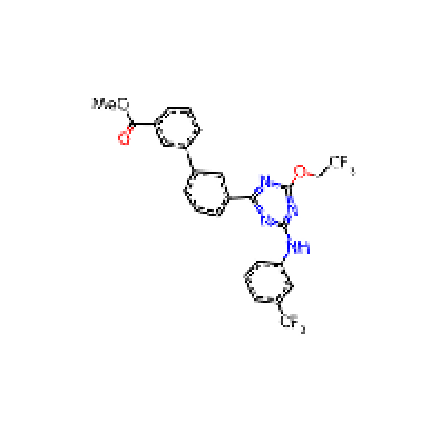 COC(=O)c1cccc(-c2cccc(-c3nc(Nc4cccc(C(F)(F)F)c4)nc(OCC(F)(F)F)n3)c2)c1